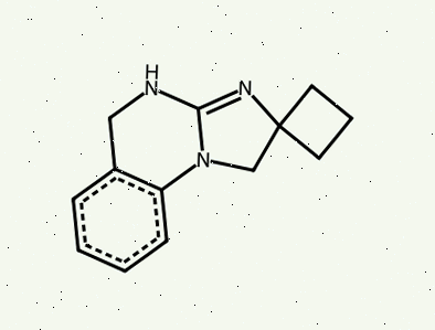 c1ccc2c(c1)CNC1=NC3(CCC3)CN12